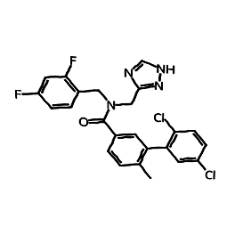 Cc1ccc(C(=O)N(Cc2nc[nH]n2)Cc2ccc(F)cc2F)cc1-c1cc(Cl)ccc1Cl